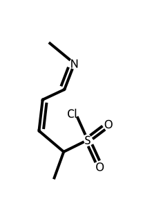 C/N=C\C=C/C(C)S(=O)(=O)Cl